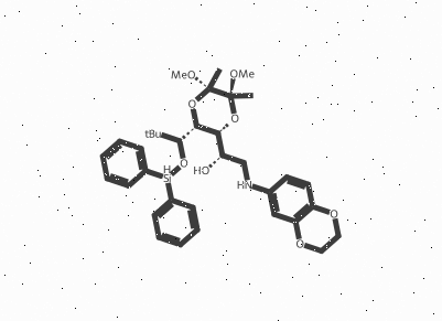 CO[C@@]1(C)O[C@H]([C@@H](O)CNc2ccc3c(c2)OCCO3)[C@H](C(O[SiH](c2ccccc2)c2ccccc2)C(C)(C)C)O[C@]1(C)OC